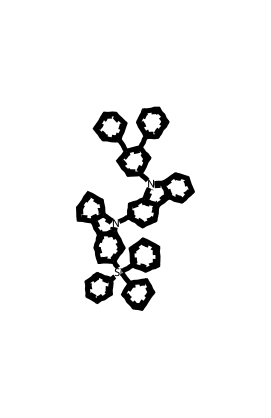 c1ccc(-c2ccc(-n3c4ccccc4c4ccc(-n5c6ccccc6c6ccc([Si](c7ccccc7)(c7ccccc7)c7ccccc7)cc65)cc43)cc2-c2ccccc2)cc1